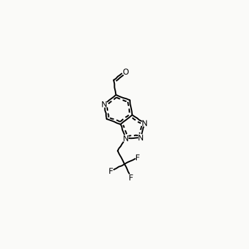 O=Cc1cc2nnn(CC(F)(F)F)c2cn1